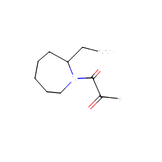 CNCC1CCCCCN1C(=O)C(=O)C(C)C